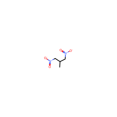 C[C](C[N+](=O)[O-])C[N+](=O)[O-]